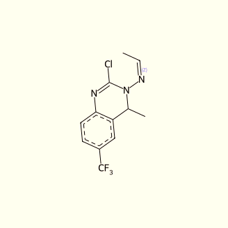 C/C=N\N1C(Cl)=Nc2ccc(C(F)(F)F)cc2C1C